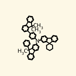 CC1(C)c2ccccc2-c2cccc(-c3ccc(N(c4ccc5c(c4)C4(CCCCC4)c4ccccc4-5)c4ccc5c(c4)C(C)(c4ccccc4)c4ccccc4-5)cc3)c21